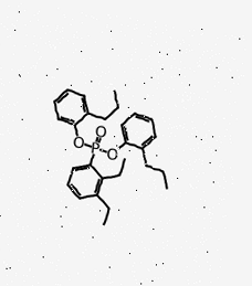 CCCc1ccccc1OP(=O)(Oc1ccccc1CCC)c1cccc(CC)c1CC